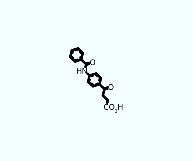 O=C(O)CCC(=O)c1ccc(NC(=O)c2ccccc2)cc1